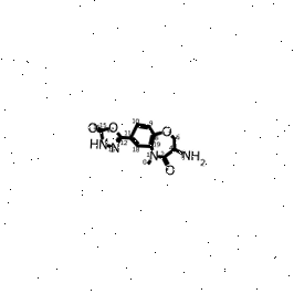 CN1C(=O)C(N)COc2ccc(-c3n[nH]c(=O)o3)cc21